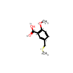 COc1ccc(CSC)cc1C(=O)O